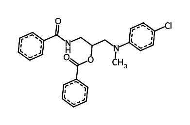 CN(CC(CNC(=O)c1ccccc1)OC(=O)c1ccccc1)c1ccc(Cl)cc1